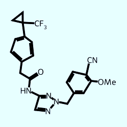 COc1cc(Cn2ncc(NC(=O)Cc3ccc(C4(C(F)(F)F)CC4)cc3)n2)ccc1C#N